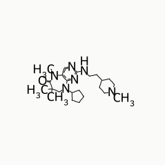 CN1CCC(CCNc2ncc3c(n2)N(C2CCCC2)CC(C)(C)C(=O)N3C)CC1